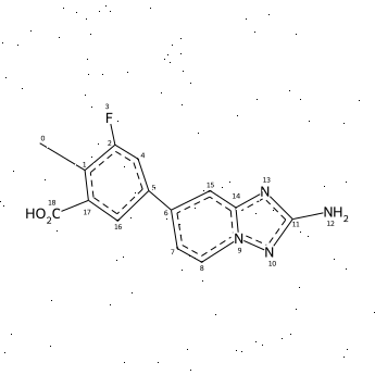 Cc1c(F)cc(-c2ccn3nc(N)nc3c2)cc1C(=O)O